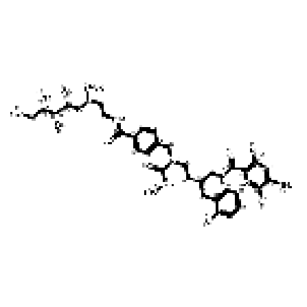 CCCCCCN(CCNC(=O)c1ccc(CN(CC[C@@H](CNC(=O)c2nc(Cl)c(N)nc2N)Cc2ccccc2C)C(=O)OC(C)(C)C)cc1)C[C@@H](O)[C@H](O)[C@@H](O)CO